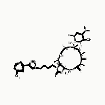 CCC1CC(N(C)C)C(O)[C@H](O[C@@H]2[C@@H](C)C(=O)[C@@H](C)C(=O)O[C@H](CC)[C@@]3(C)OC(=O)N(CCCCn4cc(-c5cccc(N)c5)nn4)[C@@H]3[C@@H](C)NC[C@H](C)C[C@@]2(C)OC)O1